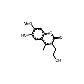 COc1cc2oc(=O)c(CCO)c(C)c2cc1O